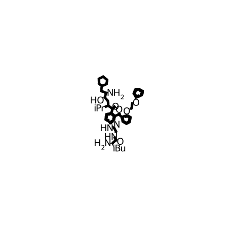 CC[C@H](C)[C@H](N)C(=O)NCc1nc2c(C(=O)c3ccccc3OCCOc3ccccc3)c(C(=O)C(C[C@H](O)[C@@H](N)CC3CCCCC3)C(C)C)ccc2[nH]1